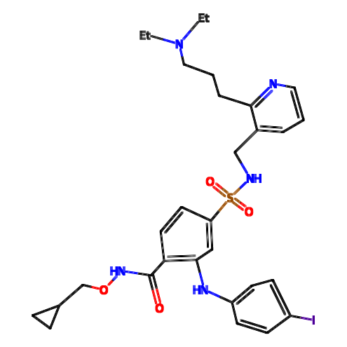 CCN(CC)CCCc1ncccc1CNS(=O)(=O)c1ccc(C(=O)NOCC2CC2)c(Nc2ccc(I)cc2)c1